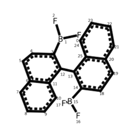 FB(F)c1ccc2ccccc2c1-c1c(B(F)F)ccc2ccccc12